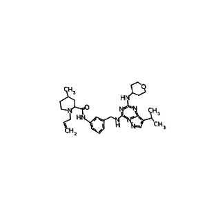 C=CCN1CCC(C)CC1C(=O)Nc1cccc(CNc2nc(NC3CCOCC3)nc3c(C(C)C)cnn23)c1